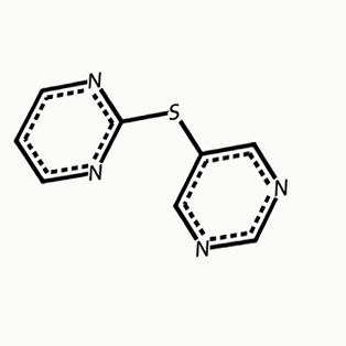 c1cnc(Sc2cncnc2)nc1